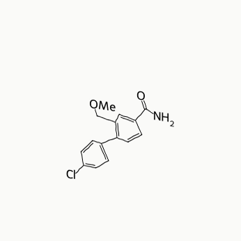 COCc1cc(C(N)=O)ccc1-c1ccc(Cl)cc1